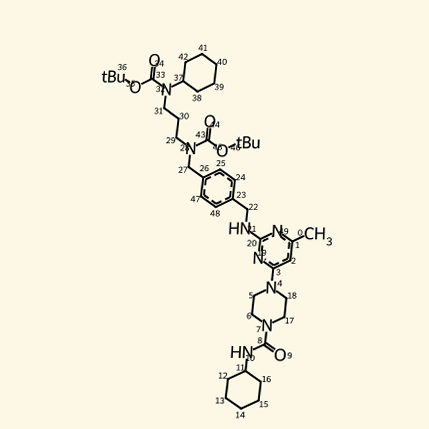 Cc1cc(N2CCN(C(=O)NC3CCCCC3)CC2)nc(NCc2ccc(CN(CCCN(C(=O)OC(C)(C)C)C3CCCCC3)C(=O)OC(C)(C)C)cc2)n1